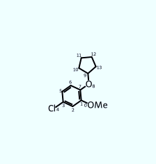 COc1cc(Cl)ccc1OC1CCCC1